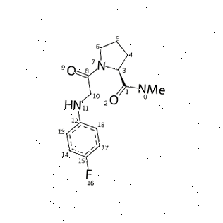 CNC(=O)[C@@H]1CCCN1C(=O)CNc1ccc(F)cc1